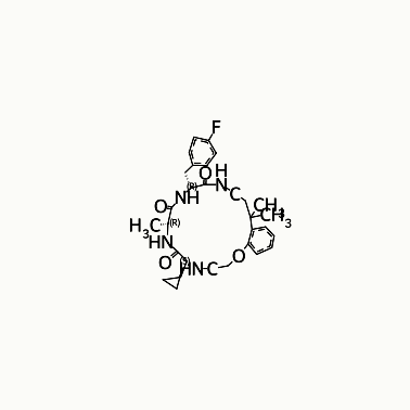 C[C@H]1NC(=O)[C@H](C2CC2)NCCOc2ccccc2C(C)(C)CCNC(=O)[C@@H](Cc2ccc(F)cc2)NC1=O